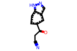 N#CCC(=O)c1ccc2[nH]ncc2c1